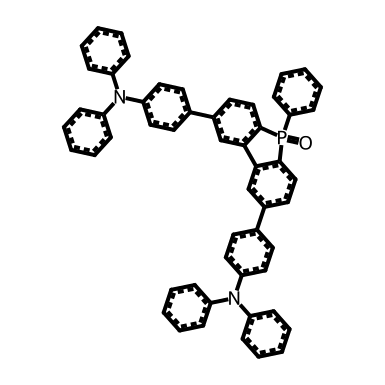 O=P1(c2ccccc2)c2ccc(-c3ccc(N(c4ccccc4)c4ccccc4)cc3)cc2-c2cc(-c3ccc(N(c4ccccc4)c4ccccc4)cc3)ccc21